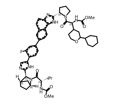 COC(=O)N[C@H](C(=O)N1[C@@H]2CC[C@@H](C2)[C@H]1c1ncc(-c2ccc(-c3ccc4c(ccc5nc([C@@H]6CCCN6C(=O)[C@@H](NC(=O)OC)C6CCOC(C7CCCCC7)C6)[nH]c54)c3)cc2F)[nH]1)C(C)C